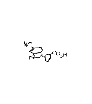 N#Cc1ccc2c(c1)ncn2-c1cccc(C(=O)O)c1